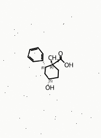 C[C@@]1(C(=O)O)CC[C@H](O)C[C@@H]1c1ccccc1